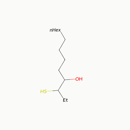 CCCCCCCCCCC(O)C(S)CC